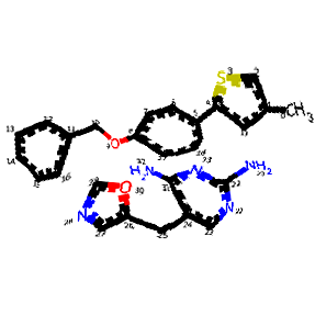 Cc1csc(-c2ccc(OCc3ccccc3)cc2)c1.Nc1ncc(Cc2cnco2)c(N)n1